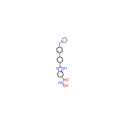 O=C(NO)c1ccc2nc(-c3ccc(-c4ccc(CN5CCCC5)cc4)cc3)[nH]c2c1